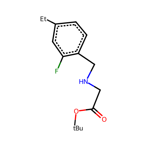 CCc1ccc(CNCC(=O)OC(C)(C)C)c(F)c1